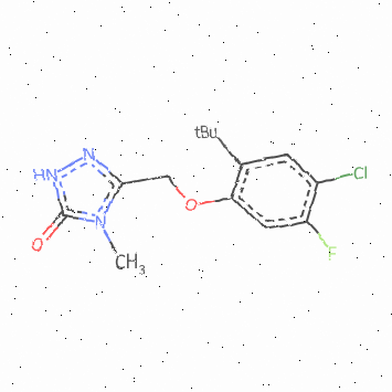 Cn1c(COc2cc(F)c(Cl)cc2C(C)(C)C)n[nH]c1=O